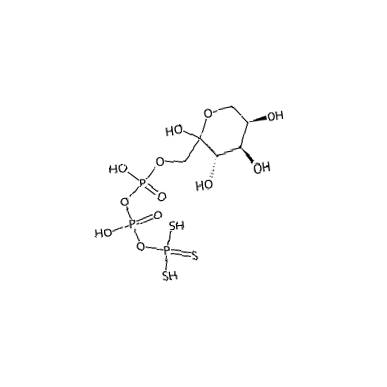 O=P(O)(OCC1(O)OC[C@@H](O)[C@@H](O)[C@@H]1O)OP(=O)(O)OP(=S)(S)S